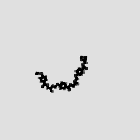 COc1ccc(C(=O)OCC(C)OCOc2ccc(C(=O)OCC(C)OCOc3ccc(C(=O)OCC(C)OC=O)cc3)cc2)cc1